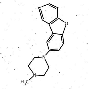 CN1CCN(c2ccc3oc4[c]cccc4c3c2)CC1